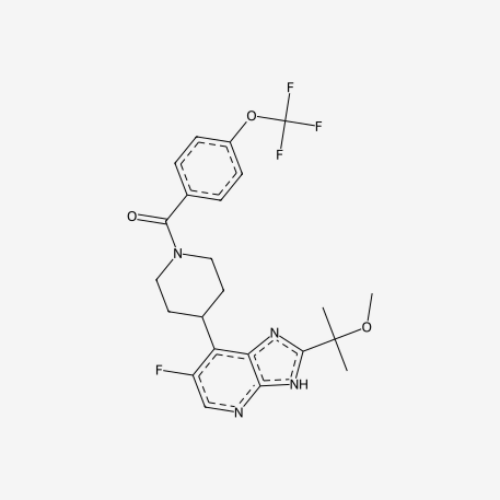 COC(C)(C)c1nc2c(C3CCN(C(=O)c4ccc(OC(F)(F)F)cc4)CC3)c(F)cnc2[nH]1